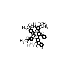 CC(C)(C)c1ccc(N2B3c4sc5ccc(C(C)(C)C)cc5c4-n4c5ccc(C(C)(C)C)cc5c5c6oc7ccccc7c6c(c3c54)-c3cc4c(cc32)C(C)(C)c2ccccc2-4)cc1